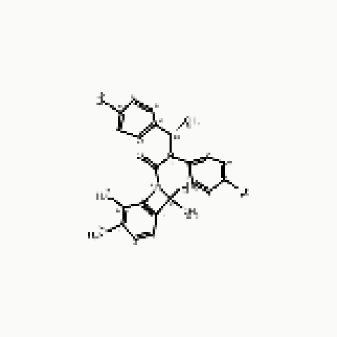 CCc1ccc(N(C(=O)N2c3c(ccc(N)c3C)C2(C)C)[C@@H](C)c2ccc(Cl)cc2)cc1